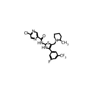 CC1CCCCN1CC1=C(c2cc(F)cc(C(F)(F)F)c2)NC(NC(=O)c2cnc(Cl)cn2)S1